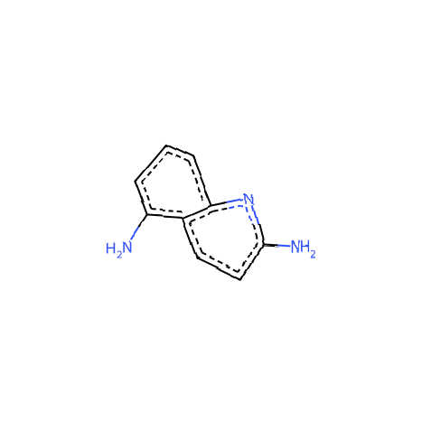 Nc1ccc2c(N)cccc2n1